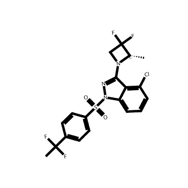 C[C@@H]1N(c2nn(S(=O)(=O)c3ccc(C(C)(F)F)cc3)c3cccc(Cl)c23)CC1(F)F